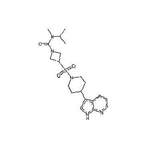 CC(C)N(C)C(=O)N1CC(S(=O)(=O)N2CCC(c3c[nH]c4ncccc34)CC2)C1